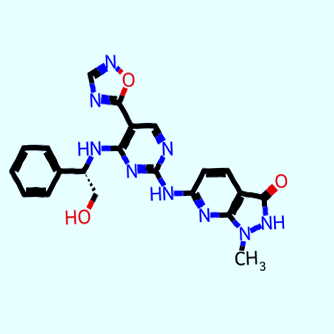 Cn1[nH]c(=O)c2ccc(Nc3ncc(-c4ncno4)c(N[C@H](CO)c4ccccc4)n3)nc21